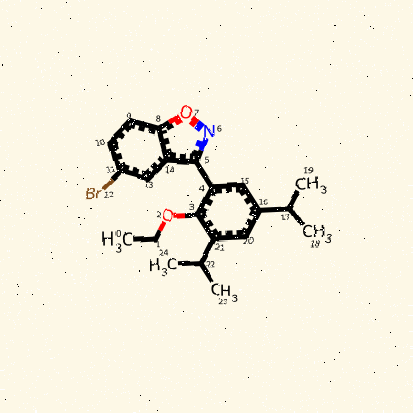 CCOc1c(-c2noc3ccc(Br)cc23)cc(C(C)C)cc1C(C)C